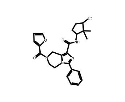 CCC1CCC(NC(=O)c2nc(-c3ccccc3)n3c2CN(C(=O)c2ccco2)CC3)C1(C)C